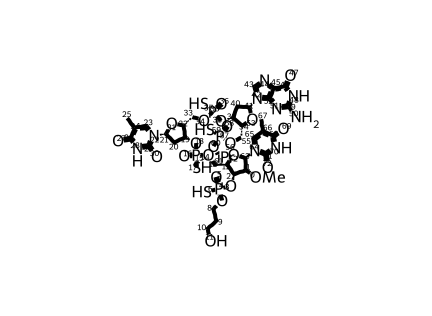 COC1[C@@H](OP(=O)(S)OCCCO)[C@@H](COP(=O)(S)O[C@@H]2C[C@H](n3cc(C)c(=O)[nH]c3=O)O[C@@H]2COP(=O)(S)O[C@@H]2C[C@H](n3cnc4c(=O)[nH]c(N)nc43)O[C@@H]2COP(=O)(S)OC(C)C)O[C@H]1n1cc(C)c(=O)[nH]c1=O